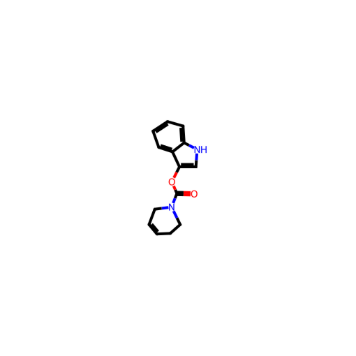 O=C(Oc1c[nH]c2ccccc12)N1CC=CCC1